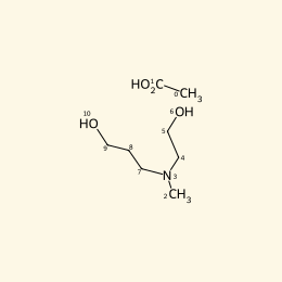 CC(=O)O.CN(CCO)CCCO